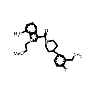 COCCn1cc(C(=O)N2CCC(c3ccc(F)c(CN)c3)CC2)c2cccc(C)c21